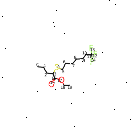 CCCC(SCCCCCCC(F)(F)F)C(=O)OCC